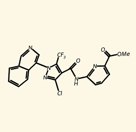 COC(=O)c1cccc(NC(=O)c2c(Cl)nn(-c3cncc4ccccc34)c2C(F)(F)F)n1